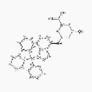 O=C(O)N1CC(O)CC(Nc2ncnc3c2ccn3C(c2ccccc2)(c2ccccc2)c2ccccc2)C1